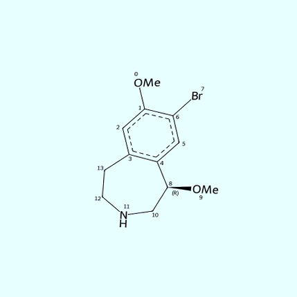 COc1cc2c(cc1Br)[C@@H](OC)CNCC2